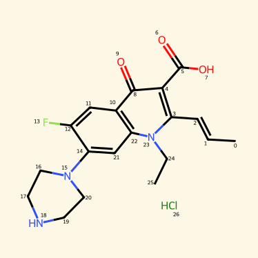 CC=Cc1c(C(=O)O)c(=O)c2cc(F)c(N3CCNCC3)cc2n1CC.Cl